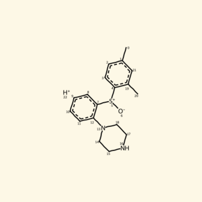 Cc1ccc([S+]([O-])c2ccccc2N2CCNCC2)c(C)c1.[H+]